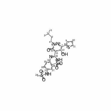 CC(C)CCn1nc(-c2cccs2)c(O)c(C2=Nc3ccc(NS(C)(=O)=O)cc3S(=O)(=O)N2)c1=O